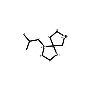 CC(C)CN1CCSC12CCNC2